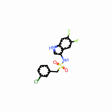 O=S(=O)(Cc1cccc(Cl)c1)Nc1c[nH]c2cc(F)c(F)cc12